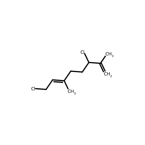 C=C(C)C(Cl)CC/C(C)=C/CCl